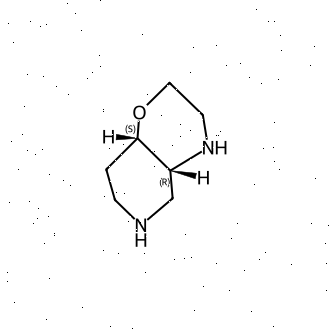 C1C[C@@H]2OCCN[C@@H]2CN1